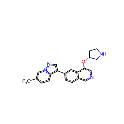 FC(F)(F)c1ccc2c(-c3ccc4cncc(O[C@@H]5CCNC5)c4c3)cnn2c1